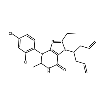 C=CCC(CC=C)n1c(CC)nc2c1C(=O)NC(C)N2c1ccc(Cl)cc1Cl